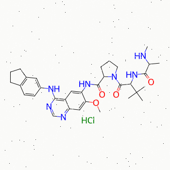 CNC(C)C(=O)NC(C(=O)N1CCCC1C(=O)Nc1cc2c(Nc3ccc4c(c3)CCC4)ncnc2cc1OC)C(C)(C)C.Cl